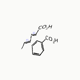 C/C=C/C=C/C(=O)O.O=C(O)c1ccccc1